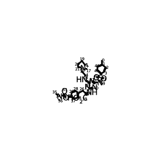 Cc1ccc(S(=O)(=O)N(C)c2nc(NCC[N+]3(C)CCCC3)nc(N[C@@H](Cc3ccc(OC(=O)N(C)C)cc3)C(=O)O)n2)cc1